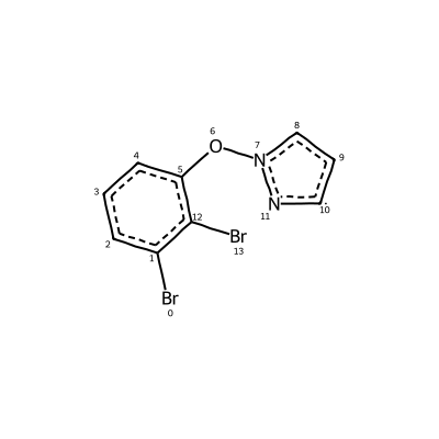 Brc1cccc(On2cc[c]n2)c1Br